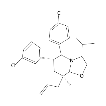 C=CC[C@@]1(C)C[C@H](c2cccc(Cl)c2)C(c2ccc(Cl)cc2)N2C(C(C)C)COC21